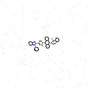 CC1C=C(c2nc3ccccc3n2-c2c#cccc2)C=CC1c1c2ccccc2c([C@H]2C=Cc3ccccc3[C@@H]2C)c2ccccc12